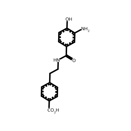 Nc1cc(C(=O)NCCc2ccc(C(=O)O)cc2)ccc1O